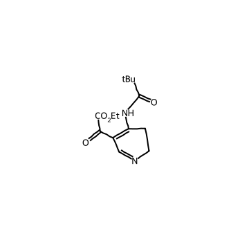 CCOC(=O)C(=O)C1=C(NC(=O)C(C)(C)C)CCN=C1